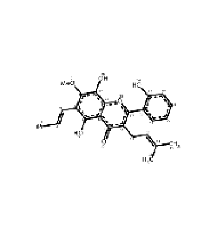 COc1c(C=CC(C)C)c(O)c2c(=O)c(CC=C(C)C)c(-c3ccccc3O)oc2c1O